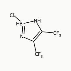 FC(F)(F)C1=C(C(F)(F)F)[NH][BiH]([Cl])=[N]1